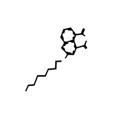 CCCCCCCCSc1cc2c3c(cccc3c1)C(=O)OC2=O